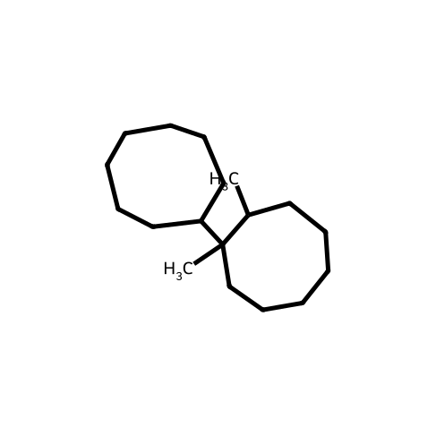 CC1CCCCCCC1(C)C1CCCCCCC1